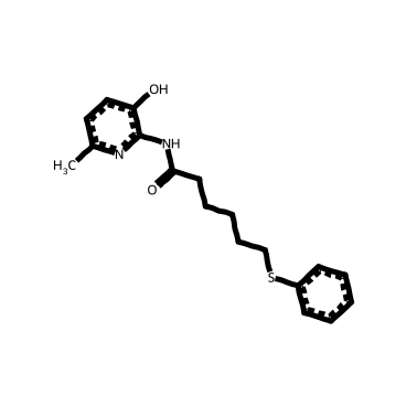 Cc1ccc(O)c(NC(=O)CCCCCSc2ccccc2)n1